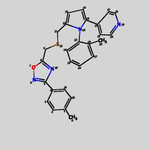 Cc1ccc(-c2noc(CSCc3ccc(-c4ccncc4)n3-c3ccccc3C)n2)cc1